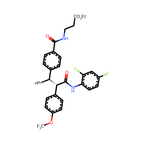 CCCC(c1ccc(C(=O)NCCC(=O)OCC)cc1)[C@H](C(=O)Nc1ccc(F)cc1F)c1ccc(OC(F)(F)F)cc1